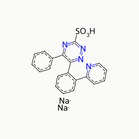 O=S(=O)(O)c1nnc(-c2ccccc2-c2ccccn2)c(-c2ccccc2)n1.[Na].[Na]